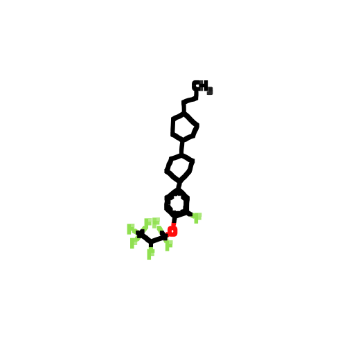 CCCC1CCC(C2CCC(c3ccc(OC(F)(F)C(F)C(F)(F)F)c(F)c3)CC2)CC1